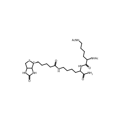 CC(=O)NCCCCC(NC(C)=O)C(=O)NC(CCCCNC(=O)CCCC[C@@H]1SCC2NC(=O)NC21)C(N)=O